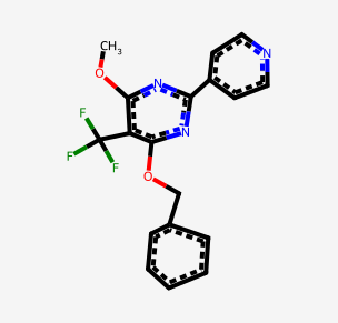 COc1nc(-c2ccncc2)nc(OCc2ccccc2)c1C(F)(F)F